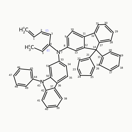 C=C/C=C\C(=C/C)N(c1ccc2c(c1)C(c1ccccc1)(c1ccccc1)c1ccccc1-2)c1ccc2c3ccccc3n(-c3ccccc3)c2c1